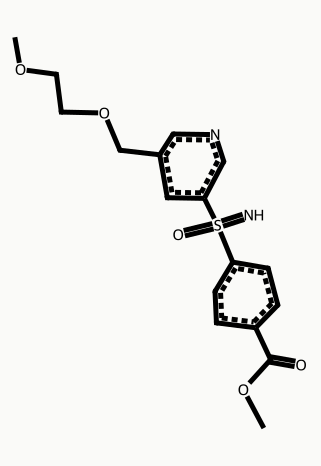 COCCOCc1cncc(S(=N)(=O)c2ccc(C(=O)OC)cc2)c1